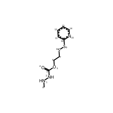 CNNC(=O)OCCSSc1ccccn1